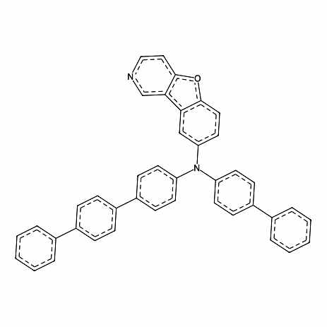 c1ccc(-c2ccc(-c3ccc(N(c4ccc(-c5ccccc5)cc4)c4ccc5oc6ccncc6c5c4)cc3)cc2)cc1